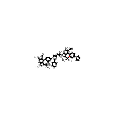 Cn1nc(C(C)(C)C)c2c1OC(N)=C(C#N)C2c1ccc(-n2cc(CC(C)(C)n3nc(C(C)(C)C)c4c3OC(N)=C(C#N)C4c3ccc(-n4ccnc4)cc3)nc2-c2cccnc2)cc1